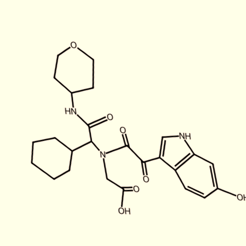 O=C(O)CN(C(=O)C(=O)c1c[nH]c2cc(O)ccc12)C(C(=O)NC1CCOCC1)C1CCCCC1